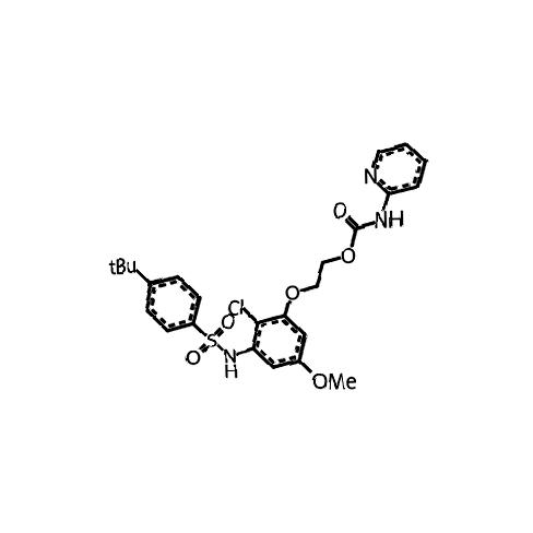 COc1cc(NS(=O)(=O)c2ccc(C(C)(C)C)cc2)c(Cl)c(OCCOC(=O)Nc2ccccn2)c1